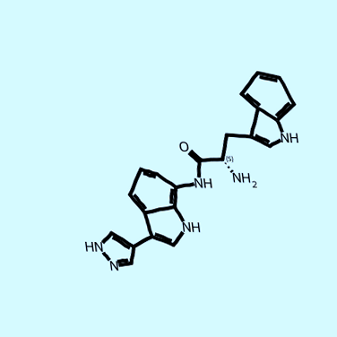 N[C@@H](Cc1c[nH]c2ccccc12)C(=O)Nc1cccc2c(-c3cn[nH]c3)c[nH]c12